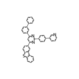 c1ccc(-c2cccc(-c3cc(-c4ccc5sc6ccccc6c5c4)nc(-c4ccc(-c5cccnc5)cc4)n3)c2)cc1